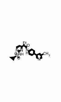 CCC(C(=O)Nc1ccc(-c2cncc(C)c2)cc1)c1ccnc(NS(=O)(=O)C2CC2)n1